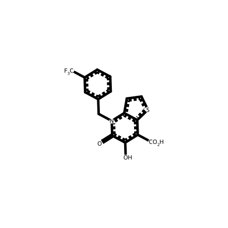 O=C(O)c1c(O)c(=O)n(Cc2cccc(C(F)(F)F)c2)c2ccsc12